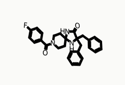 O=C(c1ccc(F)cc1)N1CCC2(CC1)NC(=O)C(Cc1ccccc1)(Cc1ccccc1)N2